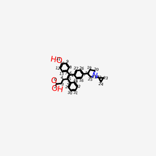 O=C(O)CC/C(=C(\c1ccc(O)cc1)c1ccc(C2CCN(C3CC3)C2)cc1)c1ccccc1